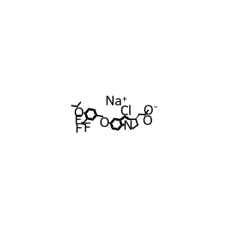 CC(C)Oc1ccc(COc2ccc3c(c2)c(Cl)c2n3CC[C@@H]2CC(=O)[O-])cc1C(F)(F)F.[Na+]